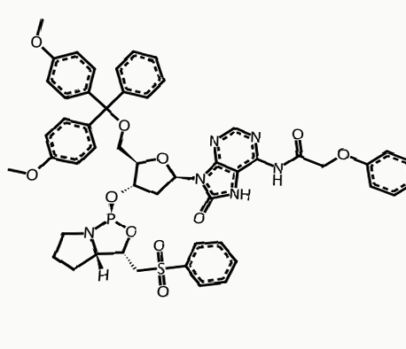 COc1ccc(C(OC[C@H]2O[C@@H](n3c(=O)[nH]c4c(NC(=O)COc5ccccc5)ncnc43)C[C@@H]2O[P@@]2O[C@H](CS(=O)(=O)c3ccccc3)[C@@H]3CCCN32)(c2ccccc2)c2ccc(OC)cc2)cc1